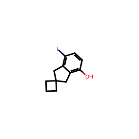 Oc1ccc(I)c2c1CC1(CCC1)C2